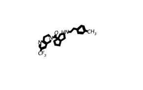 Cc1ccc(CCNC2CC3CCCC3(C(=O)N3CCc4ncc(C(F)(F)F)cc4C3)C2)cc1